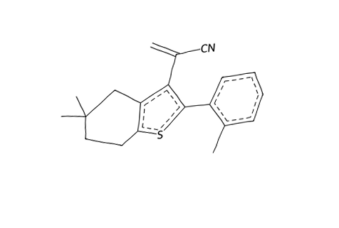 C=C(C#N)c1c(-c2ccccc2C)sc2c1CC(C)(C)CC2